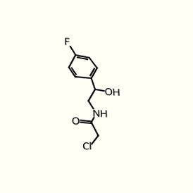 O=C(CCl)NCC(O)c1ccc(F)cc1